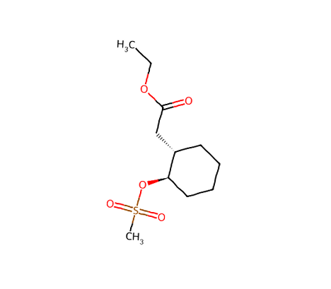 CCOC(=O)C[C@@H]1CCCC[C@H]1OS(C)(=O)=O